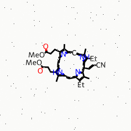 CCC1=C(C)c2nc1cc1[nH]c(cc3nc(cc4[nH]c(c2C=CC#N)c(CC)c4C)C(C)=C3CCC(=O)OC)c(CCC(=O)OC)c1C